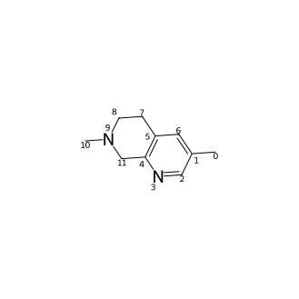 Cc1cnc2c(c1)CCN(C)C2